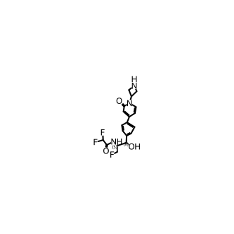 O=C(N[C@H](CF)[C@H](O)c1ccc(-c2ccn(C3CNC3)c(=O)c2)cc1)C(F)F